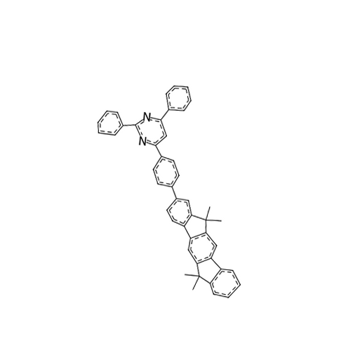 CC1(C)c2ccccc2-c2cc3c(cc21)-c1ccc(-c2ccc(-c4cc(-c5ccccc5)nc(-c5ccccc5)n4)cc2)cc1C3(C)C